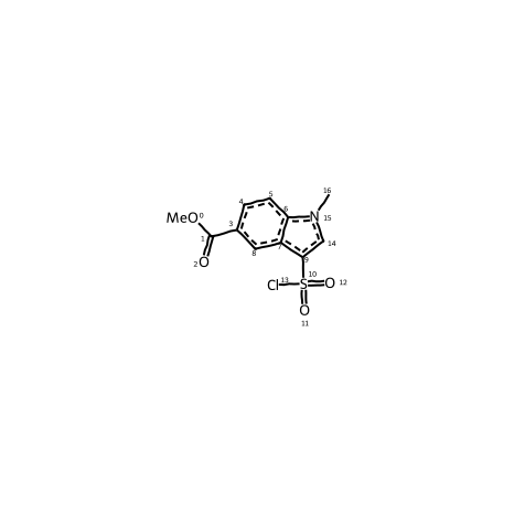 COC(=O)c1ccc2c(c1)c(S(=O)(=O)Cl)cn2C